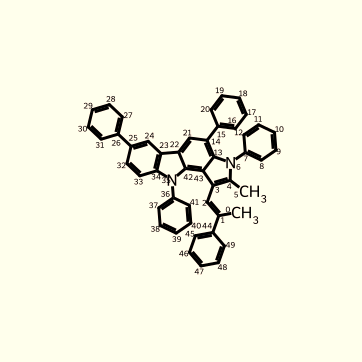 C/C(=C\c1c(C)n(-c2ccccc2)c2c(-c3ccccc3)cc3c4cc(-c5ccccc5)ccc4n(-c4ccccc4)c3c12)c1ccccc1